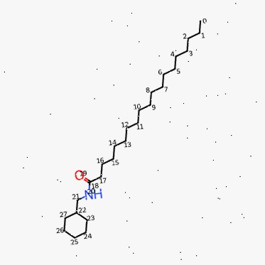 CCCCCCCCCCCCCCCCCCC(=O)NCC1CCCCC1